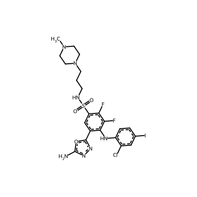 CN1CCN(CCCNS(=O)(=O)c2cc(-c3nnc(N)o3)c(Nc3ccc(I)cc3Cl)c(F)c2F)CC1